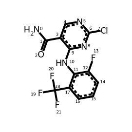 NC(=O)c1cnc(Cl)nc1Nc1c(F)cccc1C(F)(F)F